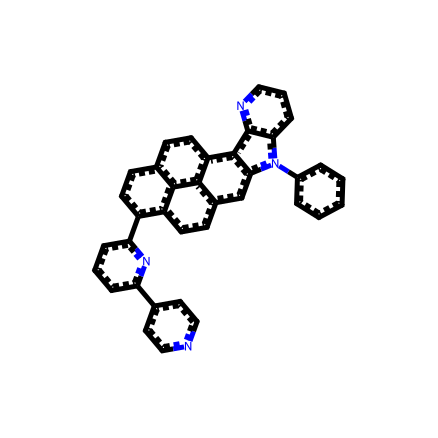 c1ccc(-n2c3cccnc3c3c4ccc5ccc(-c6cccc(-c7ccncc7)n6)c6ccc(cc32)c4c56)cc1